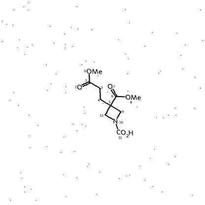 COC(=O)CCC1(C(=O)OC)CN(C(=O)O)C1